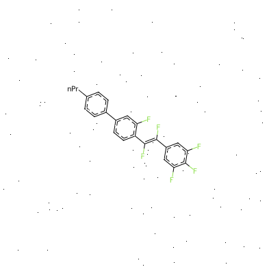 CCCc1ccc(-c2ccc(/C(F)=C(\F)c3cc(F)c(F)c(F)c3)c(F)c2)cc1